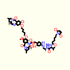 COc1cc2c(cc1OCCCCCOc1cc3c(cc1OC)C(=O)N1C=C(C)C[C@H]1[C@H](O)N3C(=O)OCc1ccc(NC[C@H](C)NC(=O)[C@@H](NC(=O)CCCCCN3C(=O)C=CC3=O)C(C)C)cc1)N=C[C@@H]1CC(C)=CN1C2=O